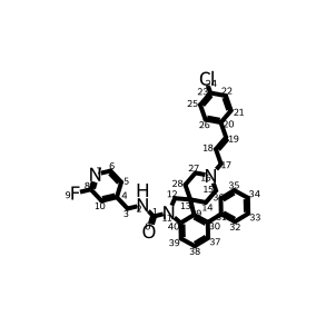 O=C(NCc1ccnc(F)c1)N1CC2(CCN(C/C=C/c3ccc(Cl)cc3)CC2)c2c(-c3ccccc3)cccc21